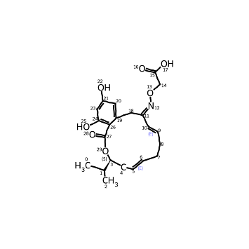 CC(C)[C@@H]1C/C=C/CC/C=C/C(=NOCC(=O)O)Cc2cc(O)cc(O)c2C(=O)O1